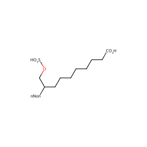 CCCCCCCCCC(CCCCCCCC(=O)O)COS(=O)(=O)O